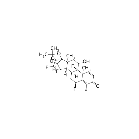 CC1(C)O[C@@H]2C[C@H]3[C@@H]4C[C@H](F)C5=C(F)C(=O)C=C[C@]5(C)[C@@]4(F)[C@@H](O)C[C@]3(C)[C@]2(C(=O)C(F)F)O1